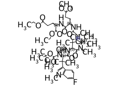 CCOC(=O)CC[C@@H](NC(=O)[C@@H](CCC(=O)OC)NC(=O)/C(C)=C/[C@H](C(C)C)N(C)C(=O)[C@@H](NC(=O)[C@@H](N(C)C(=O)OC(C)(C)C)C(C)(C)c1cn(C)c2cc(F)ccc12)C(C)(C)C)C(=O)OCC